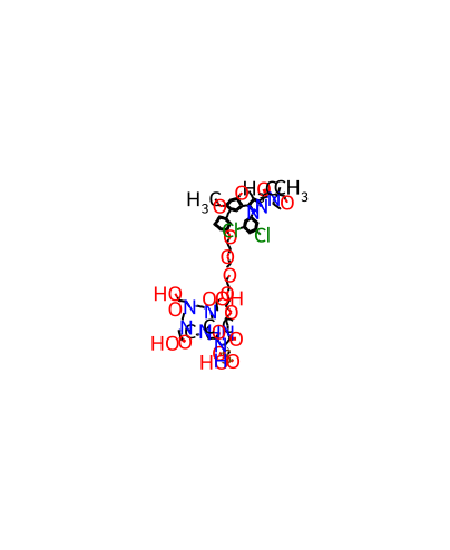 COc1cc2c(cc1-c1cccc(OCCOCCOCCOCCOCCNC(=O)[C@H](CS(=O)(=O)O)NC(=O)CN3CCN(CC(=O)O)CCN(CC(=O)O)CCN(CC(=O)O)CC3)c1)-c1c(c(C(=O)N3CCOCC3(C)C)nn1-c1cc(Cl)cc(Cl)c1)CO2